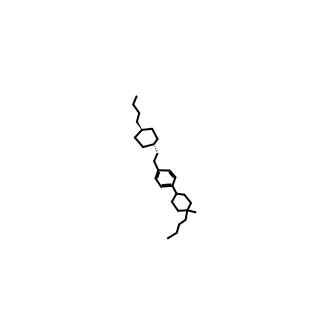 CCCCC1(C)CCC(c2ccc(CC[C@H]3CC[C@H](CCCC)CC3)cc2)CC1